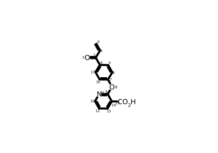 C=CC(=O)c1ccc(Oc2ncccc2C(=O)O)cc1